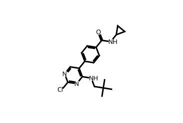 CC(C)(C)CNc1nc(Cl)ncc1-c1ccc(C(=O)NC2CC2)cc1